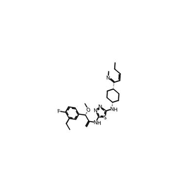 C=C(Nc1nnc(N[C@H]2CC[C@@H](C(/C=C\CC)=N/C)CC2)s1)[C@@H](OC)c1ccc(F)c(CC)c1